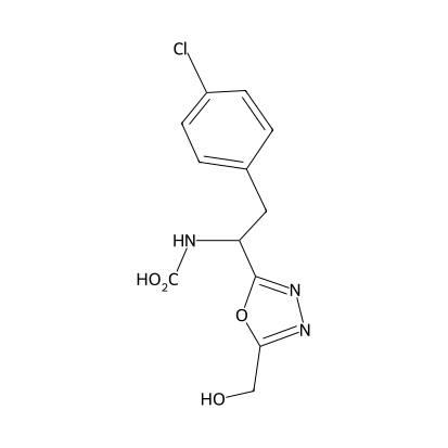 O=C(O)NC(Cc1ccc(Cl)cc1)c1nnc(CO)o1